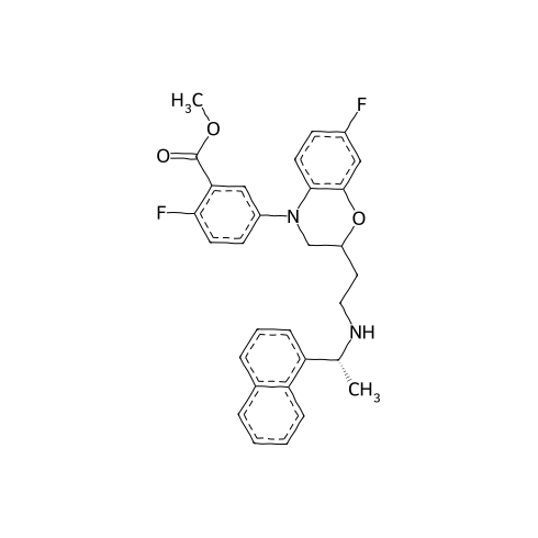 COC(=O)c1cc(N2CC(CCN[C@H](C)c3cccc4ccccc34)Oc3cc(F)ccc32)ccc1F